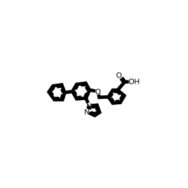 O=C(O)c1cccc(COc2ccc(-c3ccccc3)cc2-n2cccn2)c1